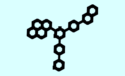 c1cncc(-c2ccc(-c3cc(-c4ccc(-c5ccc6ccccc6c5)cc4)nc(-c4ccc5ccc6cccc7ccc4c5c67)n3)cc2)c1